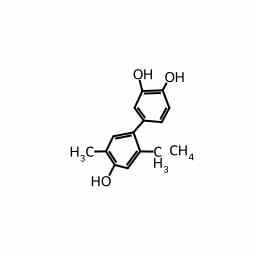 C.Cc1cc(-c2ccc(O)c(O)c2)c(C)cc1O